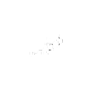 NCCCC[C@H](NC(=O)[C@H](CO)N1C(=O)CCC1=O)C(N)=O